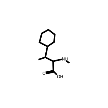 CNC(C(=O)O)C(C)C1CCCCC1